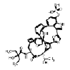 CCC(O)(CC)C(=O)N[C@H]1Cc2ccc3c(c2)C24c5cccc(c5NC2O3)-c2ccc(OP(=O)(O)O)c3[nH]cc(c23)-c2cnc(o2)-c2nc(oc24)[C@H](C(C)C)NC1=O